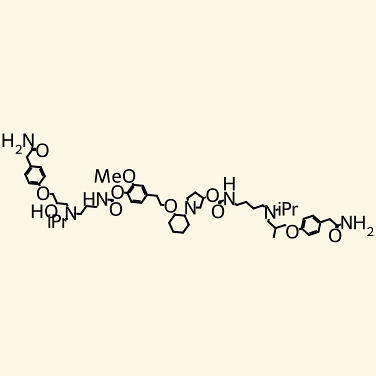 COc1cc(CCOC2CCCC[C@H]2N2CC[C@@H](OC(=O)NCCCCN(CC(C)COc3ccc(CC(N)=O)cc3)C(C)C)C2)ccc1OC(=O)NCCCN(CC(O)COc1ccc(CC(N)=O)cc1)C(C)C